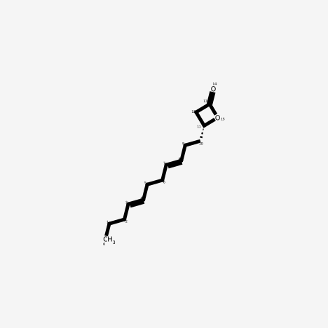 CCC/C=C/CC/C=C/CC[C@@H]1CC(=O)O1